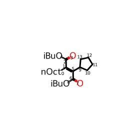 CCCCCCCCC(C(=O)OCC(C)C)=C(C(=O)OCC(C)C)C1CCCC1